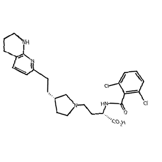 O=C(N[C@@H](CCN1CC[C@H](CCc2ccc3c(n2)NCCC3)C1)C(=O)O)c1c(Cl)cccc1Cl